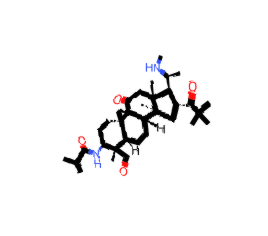 CN[C@@H](C)[C@H]1[C@H](C(=O)C(C)(C)C)C[C@@]2(C)[C@@H]3CC[C@H]4[C@](C)(C=O)[C@@H](NC(=O)C(C)C)CC[C@@]45C[C@@]35C(=O)C[C@]12C